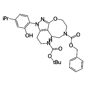 CC(C)c1ccc(-n2nc3c4c2CCN(C(=O)OC(C)(C)C)[C@H]4CN(C(=O)OCc2ccccc2)CCO3)c(O)c1